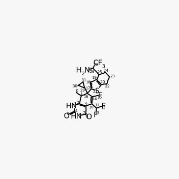 CC1c2[nH]c(=O)[nH]c(=O)c2C(C(F)F)=C(F)C1(c1cc2c(s1)CCCC2C(N)C(F)(F)F)C1CC1